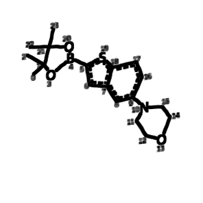 CC1(C)OB(c2cc3cc(N4CCOCC4)ccc3s2)OC1(C)C